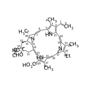 C=Cc1c(C)c2cc3nc(c(CC(=O)O)c4[nH]c(cc5nc(cc1[nH]2)C(C)=C5CC)c(C)c4C(=O)O)[C@@H](CCOC=O)[C@@H]3C